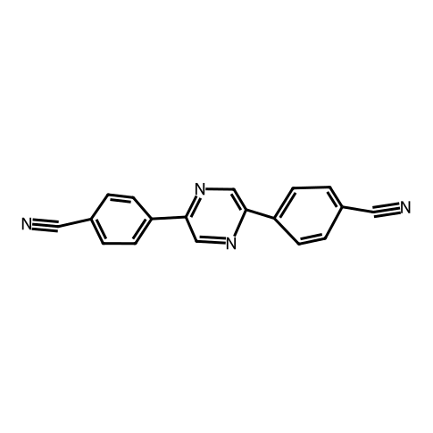 N#Cc1ccc(-c2cnc(-c3ccc(C#N)cc3)cn2)cc1